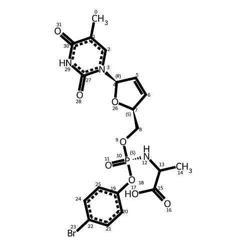 Cc1cn([C@H]2C=C[C@@H](CO[P@@](=O)(NC(C)C(=O)O)Oc3ccc(Br)cc3)O2)c(=O)[nH]c1=O